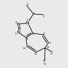 CC(C)n1nnc2c1C=CC(C)(F)C=C2